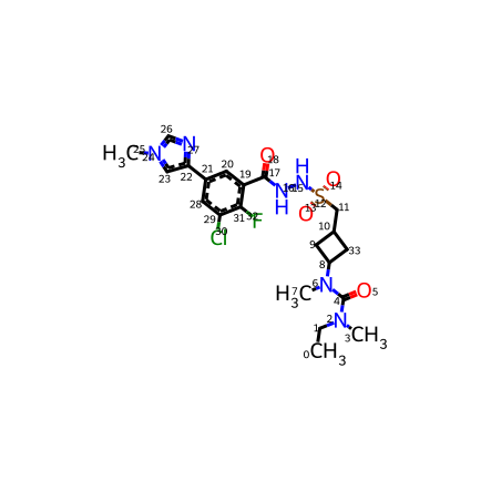 CCN(C)C(=O)N(C)C1CC(CS(=O)(=O)NNC(=O)c2cc(-c3cn(C)cn3)cc(Cl)c2F)C1